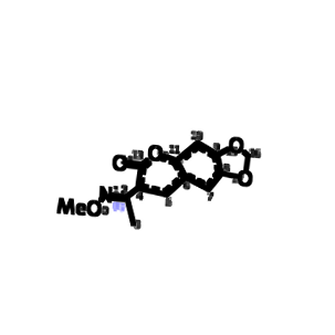 CO/N=C(\C)c1cc2cc3c(cc2oc1=O)OCO3